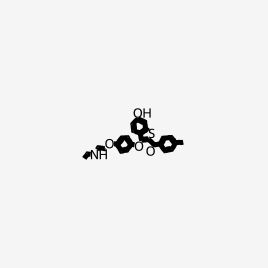 CCNCCOc1ccc(Oc2c(C(=O)c3ccc(C)cc3)sc3cc(O)ccc23)cc1